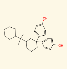 CC(C)(C1CCCCC1)C1CCCC(c2ccc(O)cc2)(c2ccc(O)cc2)C1